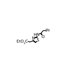 CCOC(=O)Cc1csc(NC(=O)CC(C)C)n1